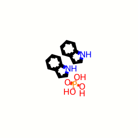 O=P(O)(O)O.c1ccc2[nH]ccc2c1.c1ccc2[nH]ccc2c1